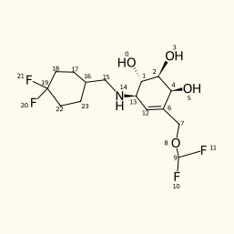 O[C@@H]1[C@@H](O)[C@@H](O)C(COC(F)F)=C[C@H]1NCC1CCC(F)(F)CC1